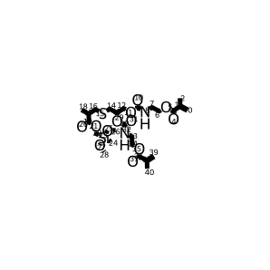 C=C(C)C(=O)OCCNC(=O)OCC(CSCC(C)C(=O)OC[Si](C)(OC)OC)OC(=O)NCCOC(=O)C(=C)C